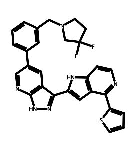 FC1(F)CCN(Cc2cccc(-c3cnc4[nH]nc(-c5cc6c(-c7cccs7)nccc6[nH]5)c4c3)c2)C1